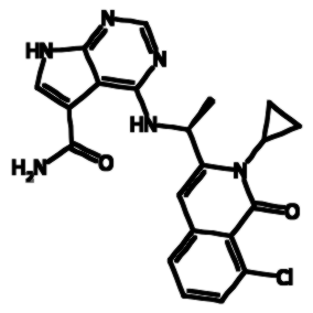 C[C@H](Nc1ncnc2[nH]cc(C(N)=O)c12)c1cc2cccc(Cl)c2c(=O)n1C1CC1